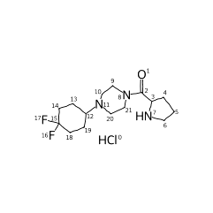 Cl.O=C(C1CCCN1)N1CCN(C2CCC(F)(F)CC2)CC1